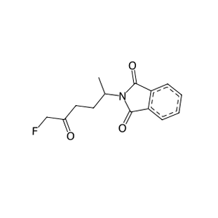 CC(CCC(=O)CF)N1C(=O)c2ccccc2C1=O